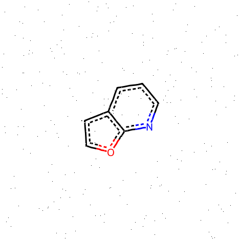 [c]1coc2ncccc12